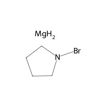 BrN1CCCC1.[MgH2]